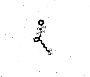 O=C(O)CCCCCCC1C2CCC(S2)C1CNNC(=O)Nc1ccccc1